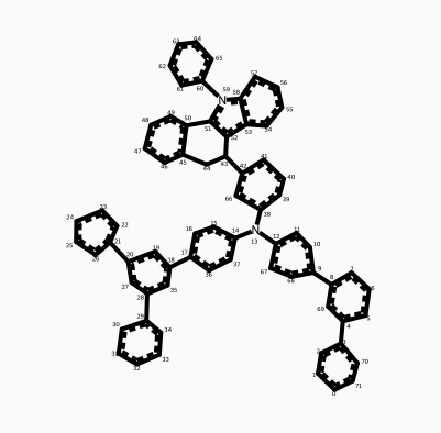 c1ccc(-c2cccc(-c3ccc(N(c4ccc(-c5cc(-c6ccccc6)cc(-c6ccccc6)c5)cc4)c4cccc(C5Cc6ccccc6-c6c5c5ccccc5n6-c5ccccc5)c4)cc3)c2)cc1